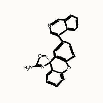 NC1=N[C@]2(CO1)c1ccccc1Oc1ccc(-c3cncc4ccccc34)cc12